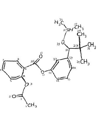 CC(=O)Oc1ccccc1C(=O)Oc1cccc(C(O[SiH](C)C)C(C)(C)C)c1